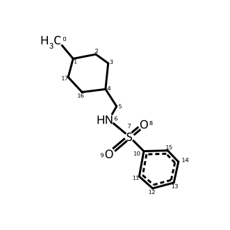 CC1CCC(CNS(=O)(=O)c2ccccc2)CC1